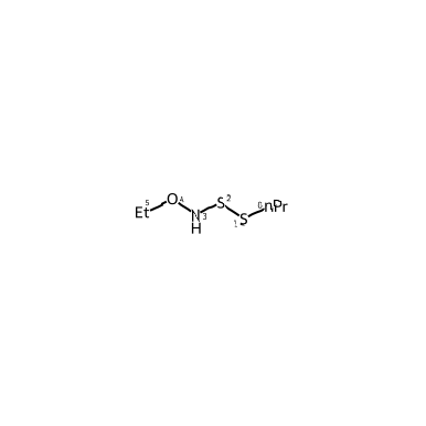 CCCSSNOCC